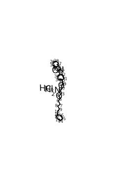 Cl.NC(COCCCCCCc1ccccc1)COCc1ccc(-c2nc3ccccc3o2)cc1